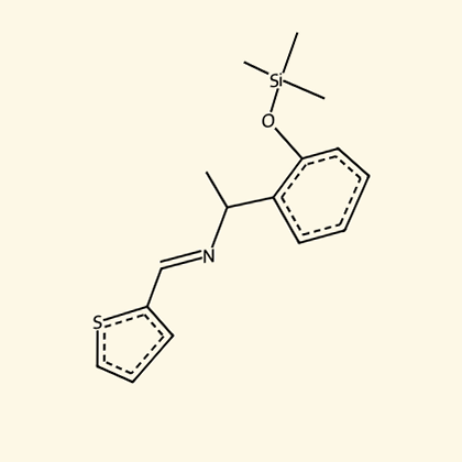 CC(N=Cc1cccs1)c1ccccc1O[Si](C)(C)C